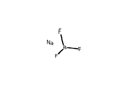 FB(F)F.[Na]